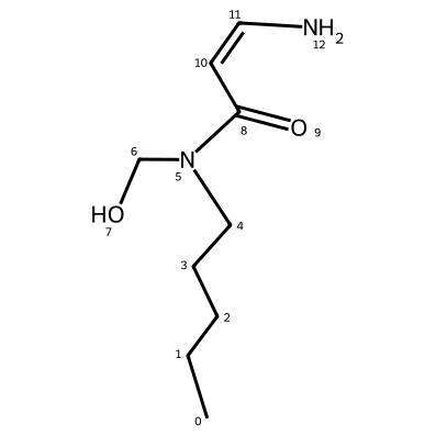 CCCCCN(CO)C(=O)/C=C\N